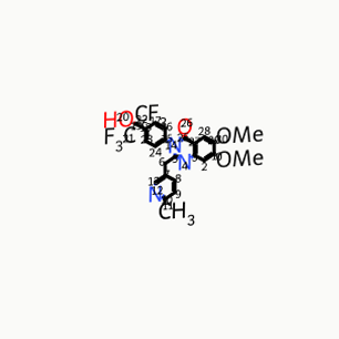 COc1cc2nc(Cc3ccc(C)nc3)n(-c3ccc(C(O)(C(F)(F)F)C(F)(F)F)cc3)c(=O)c2cc1OC